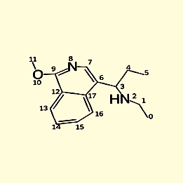 CCNC(CC)c1cnc(OC)c2ccccc12